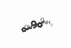 NC(=O)c1cccc(C23CCCC(C2)N(CCCC2(O)CCCC2)CC3)c1